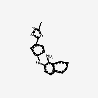 Cc1nnc(-c2ccc(Nc3ccc4ccccc4c3[N+](=O)[O-])cc2)o1